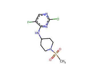 CS(=O)(=O)N1CCC(Nc2nc(Cl)ncc2F)CC1